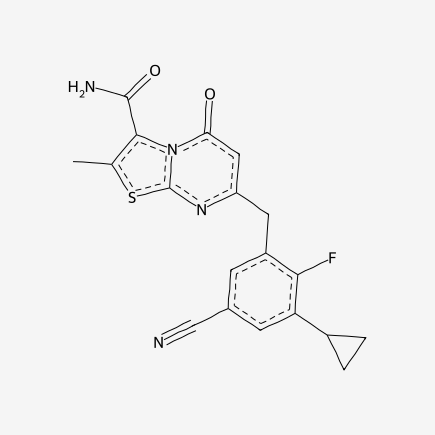 Cc1sc2nc(Cc3cc(C#N)cc(C4CC4)c3F)cc(=O)n2c1C(N)=O